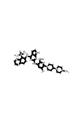 CCc1cc(Nc2nc(Nc3ccc4nccnc4c3P(C)(C)=O)c3cc[nH]c3n2)c(OC)nc1N1CCC(N2CCN(C)CC2)CC1